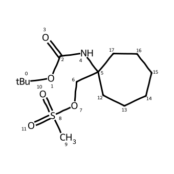 CC(C)(C)OC(=O)NC1(COS(C)(=O)=O)CCCCCC1